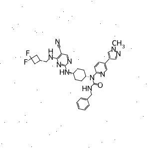 Cn1cc(-c2ccc(N(C(=O)NCc3ccccc3)[C@H]3CC[C@H](Nc4ncc(C#N)c(NCC5CC(F)(F)C5)n4)CC3)nc2)cn1